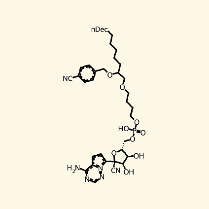 CCCCCCCCCCCCCCCC(COCCCCOP(=O)(O)OC[C@H]1O[C@@](C#N)(c2ccc3c(N)ncnn23)[C@H](O)[C@@H]1O)OCc1ccc(C#N)cc1